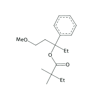 CCC(C)(C)C(=O)OC(CC)(CCOC)c1ccccc1